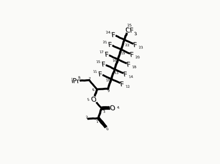 C=C(C)C(=O)OC(CC(C)C)CC(F)(F)C(F)(F)C(F)(F)C(F)(F)C(F)(F)C(F)(F)F